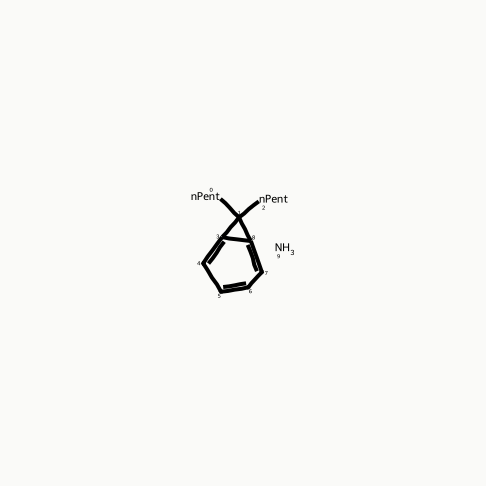 CCCCCC1(CCCCC)c2ccccc21.N